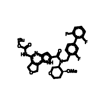 CO[C@@H]1CCOC[C@H]1N(Cc1ccc(-c2c(F)cccc2F)cc1F)C(=O)c1cc2nc(NC(=O)OC(C)(C)C)c3c(c2[nH]1)COC3